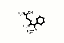 COC(C1CCCCC1)C(C)OCC(C)O